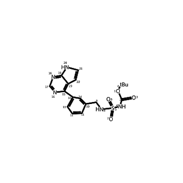 CC(C)(C)OC(=O)NS(=O)(=O)NCc1cccc(-c2ncnc3[nH]ccc23)c1